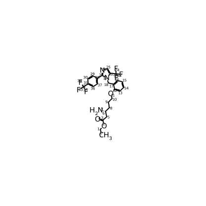 CCOC(=O)C[C@H](N)CCCOc1ccccc1Cn1c(C(F)(F)F)cnc1-c1ccc(C(F)(F)F)cc1